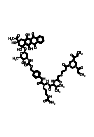 C=CC(=O)N1CN(C(=O)C=C)CN(C(=O)CCSCC(=O)N[C@H](C(=O)N[C@@H](CCCNC(N)=O)C(=O)Nc2ccc(COC(=O)N[C@H]3C[C@H](O[C@@]4(O)C[C@](O)(C(C)=O)Cc5c(O)c6c(c(O)c54)C(=O)c4ccccc4C6=O)O[C@@H](C)[C@H]3O)cc2)C(C)C)C1